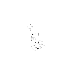 OC(COc1cccc2ccccc12)CN1CCN(C2c3ccccc3C(F)C(F)c3c(C4CC4)cccc32)CC1